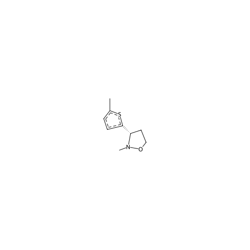 Cc1ccc([C@@H]2CCON2C)s1